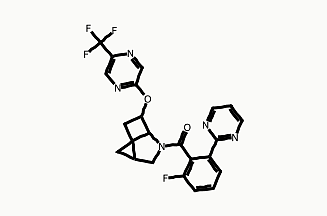 O=C(c1c(F)cccc1-c1ncccn1)N1CC2CC23CC(Oc2cnc(C(F)(F)F)cn2)C13